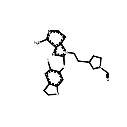 Nc1nccc2c1nc(Sc1cc3c(cc1Cl)CCO3)n2CCC1CCN(C=O)C1